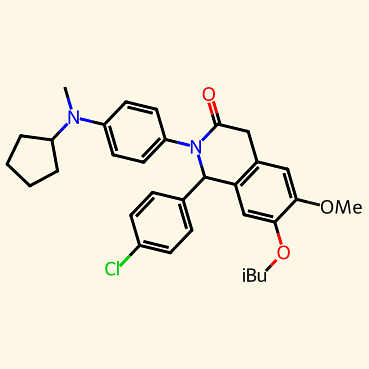 CCC(C)Oc1cc2c(cc1OC)CC(=O)N(c1ccc(N(C)C3CCCC3)cc1)C2c1ccc(Cl)cc1